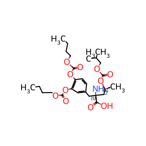 CCCCOC(=O)Oc1ccc(C[C@](N)(C[C@H](C)OC(=O)OCC(C)C)C(=O)O)cc1OC(=O)OCCCC